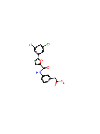 COC(=O)Cc1cccc(NC(=O)c2ccc(-c3cc(Cl)cc(Cl)c3)o2)c1